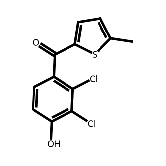 Cc1ccc(C(=O)c2ccc(O)c(Cl)c2Cl)s1